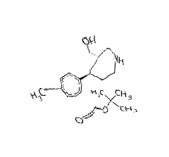 CC(C)(C)OC=O.Cc1ccc([C@@H]2CCNC[C@H]2CO)cc1